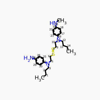 CCCCN(CCSSCCN(CCCC)c1ccc(NC)cc1)c1ccc(N)cc1